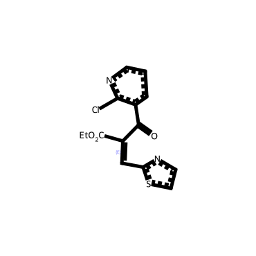 CCOC(=O)/C(=C/c1nccs1)C(=O)c1cccnc1Cl